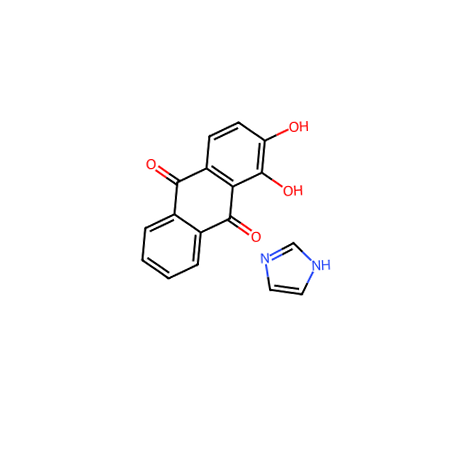 O=C1c2ccccc2C(=O)c2c1ccc(O)c2O.c1c[nH]cn1